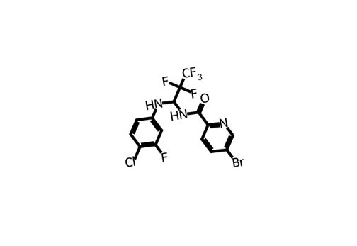 O=C(NC(Nc1ccc(Cl)c(F)c1)C(F)(F)C(F)(F)F)c1ccc(Br)cn1